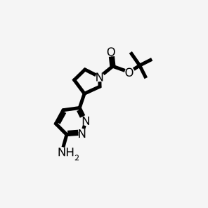 CC(C)(C)OC(=O)N1CCC(c2ccc(N)nn2)C1